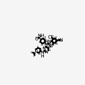 CC(C)N1CCC[C@@H](Nc2ncc3nc(Nc4c(Cl)cc(C#N)cc4Cl)n([C@H]4CC[C@@H](C(N)=O)CC4)c3n2)C1